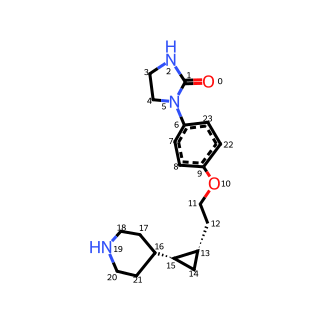 O=C1NCCN1c1ccc(OCC[C@@H]2C[C@@H]2C2CCNCC2)cc1